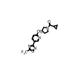 O=C(C1CC1)N1CC[C@@H](Oc2ccc(-c3noc(C(F)(F)F)n3)cn2)C1